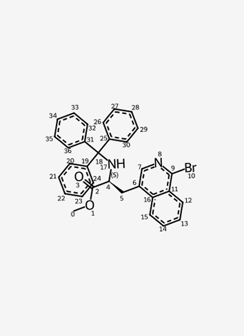 COC(=O)[C@H](Cc1cnc(Br)c2ccccc12)NC(c1ccccc1)(c1ccccc1)c1ccccc1